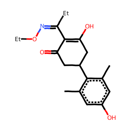 CCO/N=C(/CC)C1=C(O)CC(c2c(C)cc(O)cc2C)CC1=O